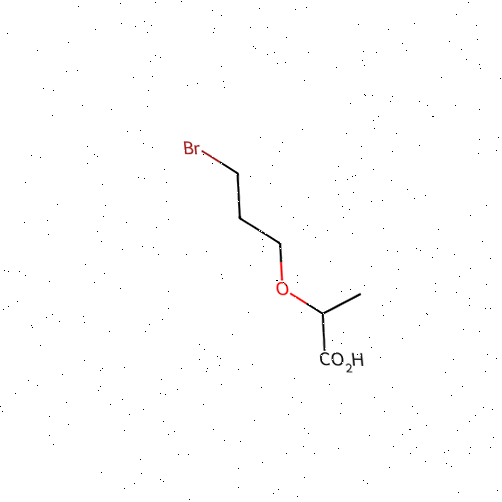 CC(OCCCBr)C(=O)O